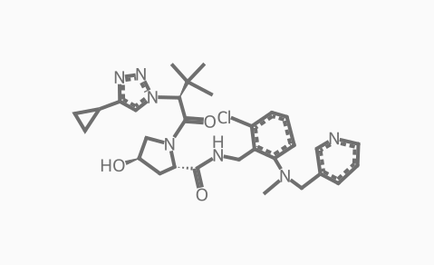 CN(Cc1cccnc1)c1cccc(Cl)c1CNC(=O)[C@@H]1C[C@@H](O)CN1C(=O)[C@@H](n1cc(C2CC2)nn1)C(C)(C)C